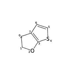 [C]1COc2sccc21